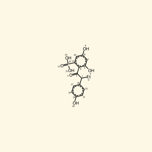 CCC(C(=O)c1c(O)cc(O)cc1P(=O)(O)O)c1ccc(O)cc1